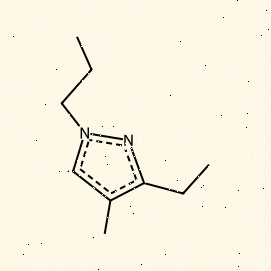 CCCn1[c]c(C)c(CC)n1